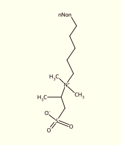 CCCCCCCCCCCCCC[N+](C)(C)C(C)CS(=O)(=O)[O-]